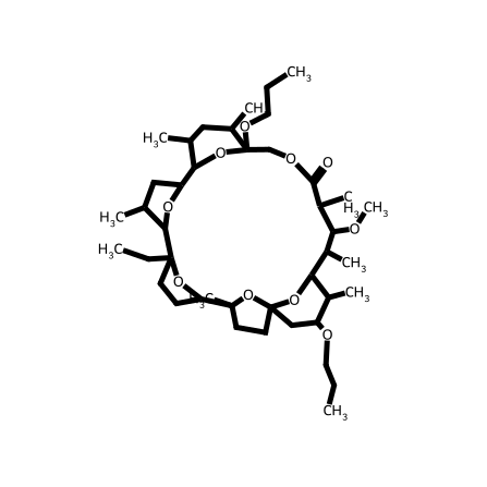 CCCOC1CC23CCC(C)(O2)C2CCC(CC)(O2)C2OC(CC2C)C2OC(OCCC)(COC(=O)C(C)C(OC)C(C)C(O3)C1C)C(C)CC2C